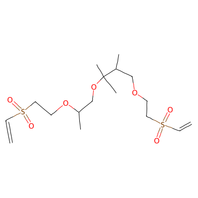 C=CS(=O)(=O)CCOCC(C)C(C)(C)OCC(C)OCCS(=O)(=O)C=C